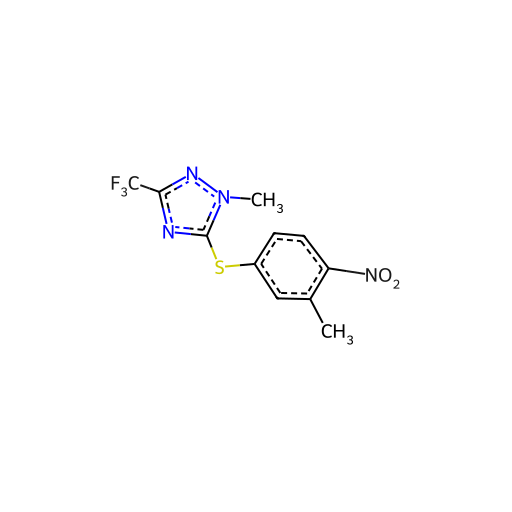 Cc1cc(Sc2nc(C(F)(F)F)nn2C)ccc1[N+](=O)[O-]